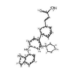 O=C(O)/C=C/c1cccc(-c2cnc(Nc3cccc4cc[nH]c34)nc2N2CCOCC2)c1